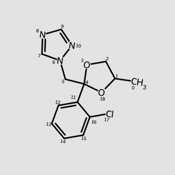 CC1COC(Cn2cncn2)(c2ccccc2Cl)O1